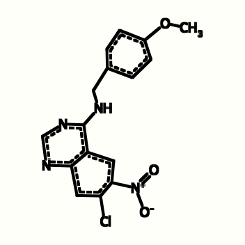 COc1ccc(CNc2ncnc3cc(Cl)c([N+](=O)[O-])cc23)cc1